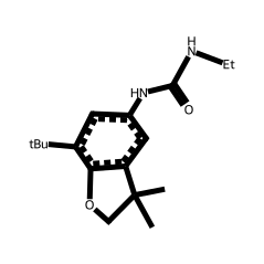 CCNC(=O)Nc1cc(C(C)(C)C)c2c(c1)C(C)(C)CO2